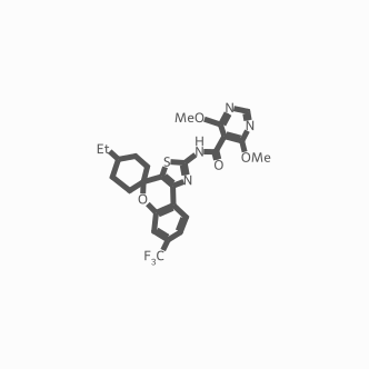 CCC1CCC2(CC1)Oc1cc(C(F)(F)F)ccc1-c1nc(NC(=O)c3c(OC)ncnc3OC)sc12